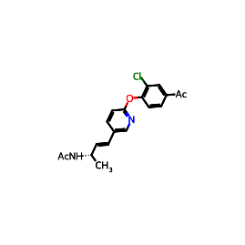 CC(=O)N[C@@H](C)/C=C/c1ccc(Oc2ccc(C(C)=O)cc2Cl)nc1